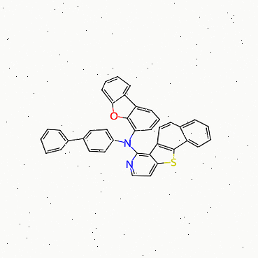 c1ccc(-c2ccc(N(c3cccc4c3oc3ccccc34)c3nccc4sc5c6ccccc6ccc5c34)cc2)cc1